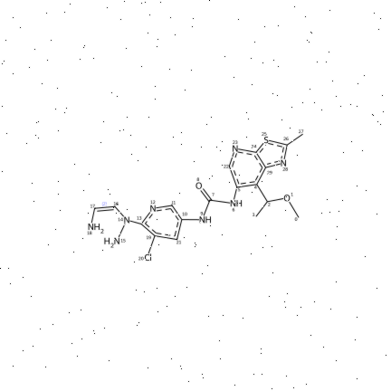 COC(C)c1c(NC(=O)Nc2cnc(N(N)/C=C\N)c(Cl)c2)cnc2sc(C)nc12